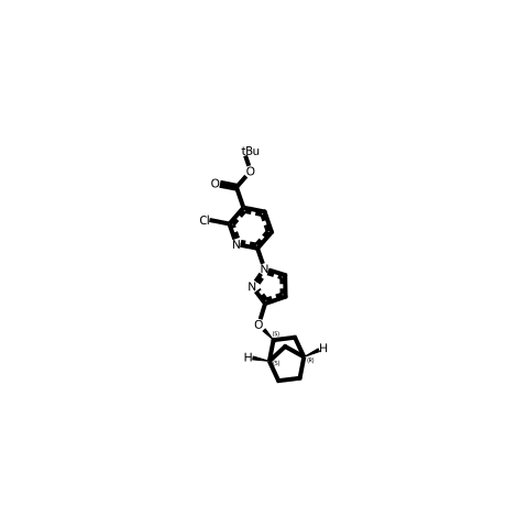 CC(C)(C)OC(=O)c1ccc(-n2ccc(O[C@H]3C[C@@H]4CC[C@H]3C4)n2)nc1Cl